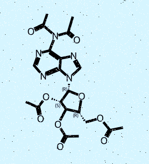 CC(=O)OC[C@H]1O[C@@H](n2cnc3c(N(C(C)=O)C(C)=O)ncnc32)[C@@H](OC(C)=O)C1OC(C)=O